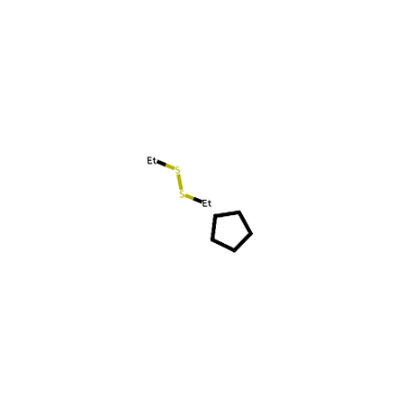 C1CCCC1.CCSSCC